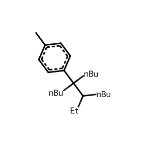 CCCCC(CC)C(CCCC)(CCCC)c1ccc(C)cc1